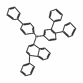 c1ccc(-c2ccc(N(c3ccc(-c4ccccc4)c(-c4ccccc4)c3)c3ccc(-c4ccccc4)c4ccccc34)cc2)cc1